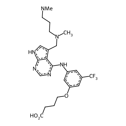 CNCCCN(C)Cc1c[nH]c2ncnc(Nc3cc(OCCCC(=O)O)cc(C(F)(F)F)c3)c12